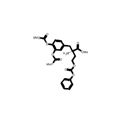 COC(=O)Oc1ccc(C[C@](N)(CCOC(=O)Oc2ccccc2)C(=O)OC)cc1OC(=O)OC